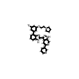 Fc1cc(OCCN2CCCC2)cc(-c2cccc3[nH]c(-c4n[nH]c5cnc(-c6cccnc6)cc45)nc23)c1